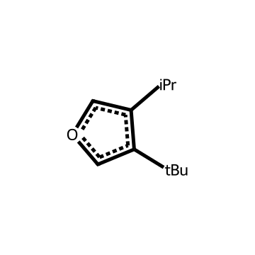 CC(C)c1cocc1C(C)(C)C